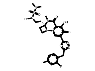 CCN(CC[C@@]12CCN1n1cc(-c3nnc(Cc4ccc(F)cc4F)s3)c(=O)c(O)c1C(=O)N2C)S(=O)(=O)N(C)C